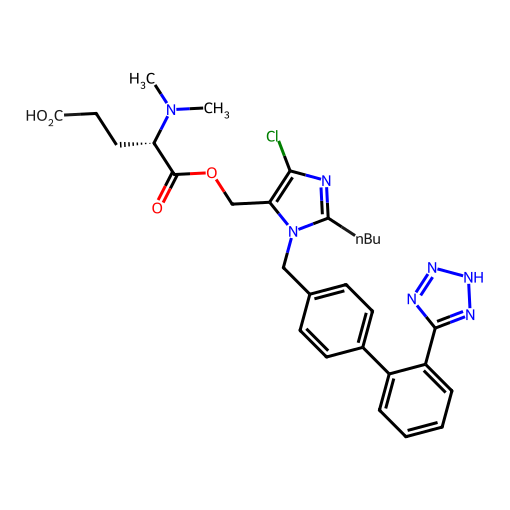 CCCCc1nc(Cl)c(COC(=O)[C@H](CCC(=O)O)N(C)C)n1Cc1ccc(-c2ccccc2-c2nn[nH]n2)cc1